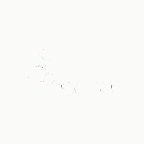 CCOc1cc(-c2nccc(NCCc3ccc(Cl)c(Cl)c3)n2)sc1-c1noc(O)n1